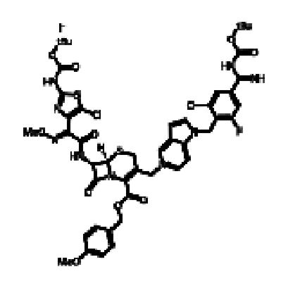 CON=C(C(=O)N[C@@H]1C(=O)N2C(C(=O)OCc3ccc(OC)cc3)=C(C[n+]3ccc4c(ccn4Cc4c(F)cc(C(=N)NC(=O)OC(C)(C)C)cc4Cl)c3)CS[C@H]12)c1nc(NC(=O)OC(C)(C)C)sc1Cl.[I-]